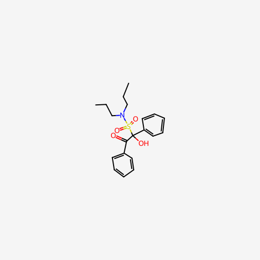 CCCN(CCC)S(=O)(=O)C(O)(C(=O)c1ccccc1)c1ccccc1